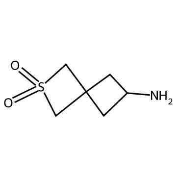 NC1CC2(C1)CS(=O)(=O)C2